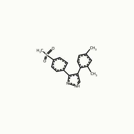 Cc1ccc(-c2c[nH]nc2-c2ccc(S(C)(=O)=O)cc2)c(C)c1